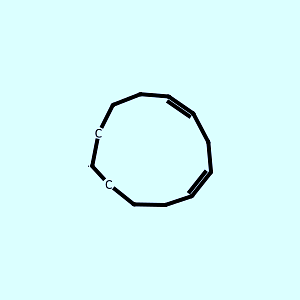 [CH]1CCCC=CCC=CCCC1